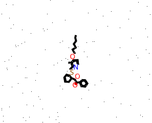 CCCCCCCOc1ccnc(CSC2=CC=CCC2C(=O)C(=O)c2ccccc2)c1C